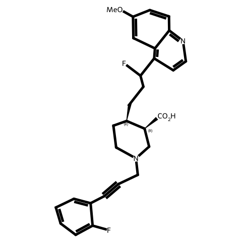 COc1ccc2nccc(C(F)CC[C@@H]3CCN(CC#Cc4ccccc4F)C[C@@H]3C(=O)O)c2c1